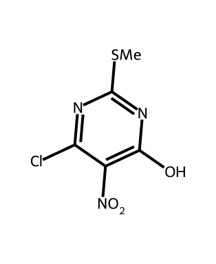 CSc1nc(O)c([N+](=O)[O-])c(Cl)n1